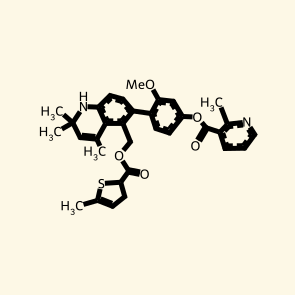 COc1cc(OC(=O)c2cccnc2C)ccc1-c1ccc2c(c1COC(=O)C1CC=C(C)S1)C(C)=CC(C)(C)N2